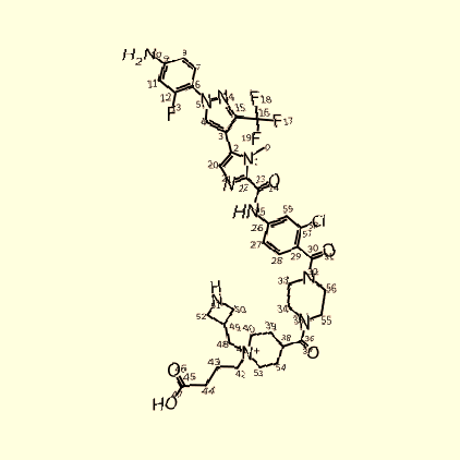 Cn1c(-c2cn(-c3ccc(N)cc3F)nc2C(F)(F)F)cnc1C(=O)Nc1ccc(C(=O)N2CCN(C(=O)C3CC[N+](CCCC(=O)O)(CC4CNC4)CC3)CC2)c(Cl)c1